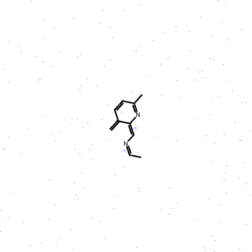 C=c1ccc(C)n/c1=C/N=C\C